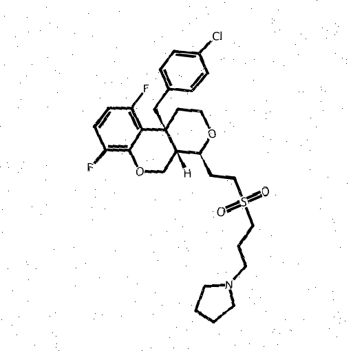 O=S(=O)(CCCN1CCCC1)CC[C@@H]1OCC[C@@]2(Cc3ccc(Cl)cc3)c3c(F)ccc(F)c3OC[C@@H]12